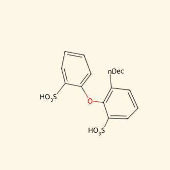 CCCCCCCCCCc1cccc(S(=O)(=O)O)c1Oc1ccccc1S(=O)(=O)O